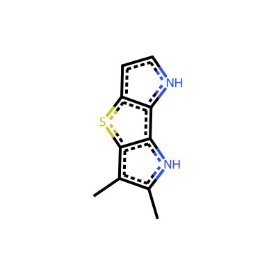 Cc1[nH]c2c(sc3cc[nH]c32)c1C